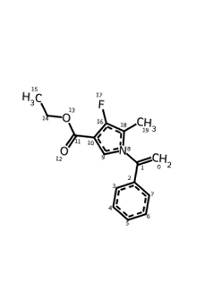 C=C(c1ccccc1)n1cc(C(=O)OCC)c(F)c1C